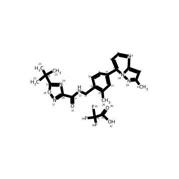 Cc1cc2nccc(-c3ccc(CNC(=O)c4noc(C(C)(C)C)n4)c(C)c3)n2n1.O=C(O)C(F)(F)F